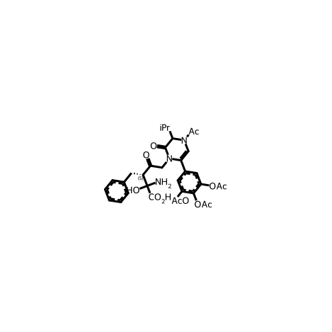 CC(=O)Oc1cc(C2=CN(C(C)=O)C(C(C)C)C(=O)N2CC(=O)[C@@H](Cc2ccccc2)C(N)(O)C(=O)O)cc(OC(C)=O)c1OC(C)=O